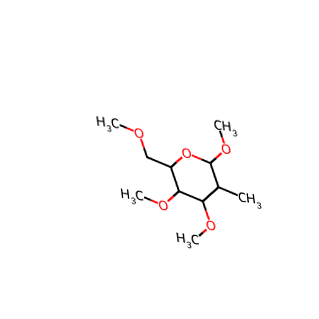 COCC1OC(OC)C(C)C(OC)C1OC